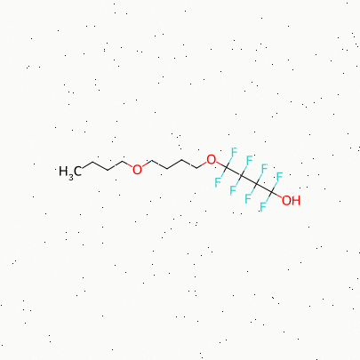 CCCCOCCCCOC(F)(F)C(F)(F)C(F)(F)C(O)(F)F